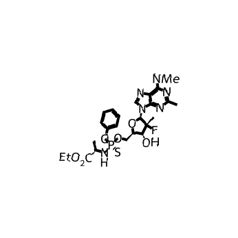 CCOC(=O)[C@H](C)N[P@](=S)(OC[C@H]1O[C@@H](n2cnc3c(NC)nc(C)nc32)[C@](C)(F)[C@@H]1O)Oc1ccccc1